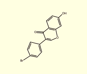 O=c1c(-c2ccc(Br)cc2)coc2cc(O)ccc12